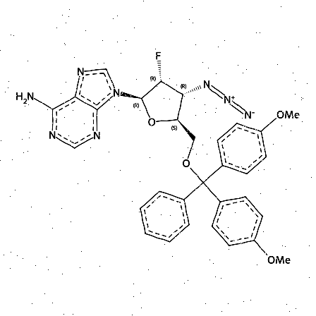 COc1ccc(C(OC[C@H]2O[C@@H](n3cnc4c(N)ncnc43)[C@H](F)[C@@H]2N=[N+]=[N-])(c2ccccc2)c2ccc(OC)cc2)cc1